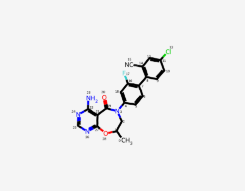 CC1CN(c2ccc(-c3ccc(Cl)cc3C#N)c(F)c2)C(=O)c2c(N)ncnc2O1